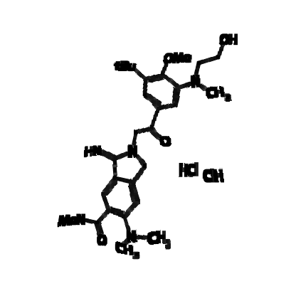 CNC(=O)c1cc2c(cc1N(C)C)CN(CC(=O)c1cc(N(C)CCO)c(OC)c(C(C)(C)C)c1)C2=N.Cl.Cl